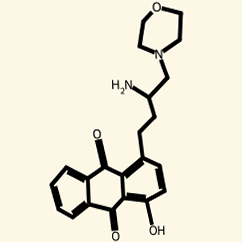 NC(CCc1ccc(O)c2c1C(=O)c1ccccc1C2=O)CN1CCOCC1